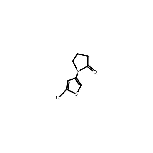 O=C1CCCN1c1csc(Cl)c1